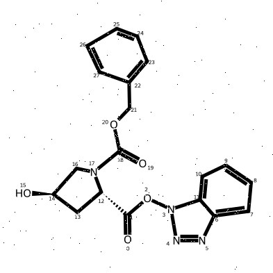 O=C(On1nnc2ccccc21)[C@@H]1C[C@@H](O)CN1C(=O)OCc1ccccc1